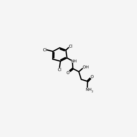 NC(=O)CC(O)C(=O)Nc1c(Cl)cc(Cl)cc1Cl